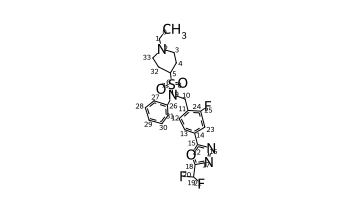 CCN1CCC(S(=O)(=O)N(Cc2ccc(-c3nnc(C(F)F)o3)cc2F)c2ccccc2)CC1